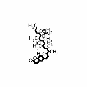 CC/C=C\C(C)[C@H](OC(N)=O)[C@@H](C)[C@H](O)[C@@H](C)C/C(C)=C\[C@H](C)[C@@H](C)C(C)/C=C\c1ccc2oc(=O)ccc2c1